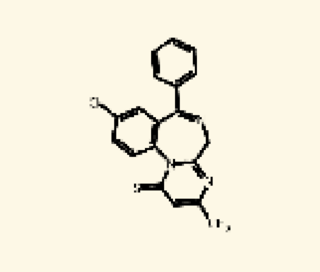 Cc1cc(=S)n2c(n1)CN=C(c1ccccc1)c1cc(Cl)ccc1-2